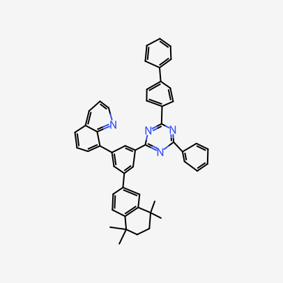 CC1(C)CCC(C)(C)c2cc(-c3cc(-c4nc(-c5ccccc5)nc(-c5ccc(-c6ccccc6)cc5)n4)cc(-c4cccc5cccnc45)c3)ccc21